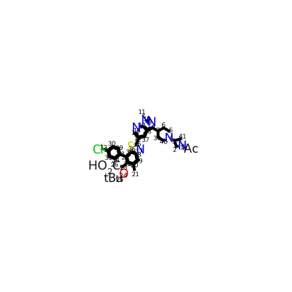 CC(=O)N1CC(N2CCC(c3nn(C)c4ncc(-c5nc6cc(C)c(C(OC(C)(C)C)C(=O)O)c(-c7ccc(Cl)cc7)c6s5)cc34)CC2)C1